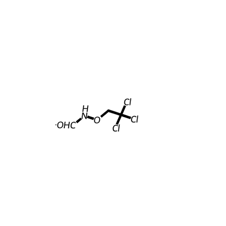 O=[C]NOCC(Cl)(Cl)Cl